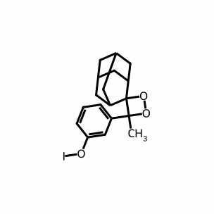 CC1(c2cccc(OI)c2)OOC12C1CC3CC(C1)CC2C3